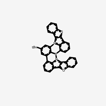 CC(C)(C)c1cc2c3c(c1)-n1c4c(cccc4c4sc5ccccc5c41)B3n1c3c-2cccc3c2oc3ccccc3c21